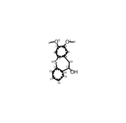 COc1cc2c(cc1OC)Sc1ccccc1C(O)C2